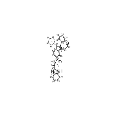 CC(C)(NC(=O)c1ccc2c(C3CCCCC3)c3n(c2c1)CCOc1ccccc1-3)c1nc2ccccc2[nH]1